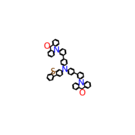 O=c1c2ccccc2n(-c2cccc(-c3ccc(N(c4ccc(-c5cccc(-n6c7ccccc7c(=O)c7ccccc76)c5)cc4)c4ccc5c(c4)sc4ccccc45)cc3)c2)c2ccccc12